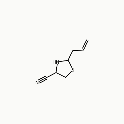 C=CCC1NC(C#N)CS1